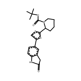 CC(C)(C)OC(=O)N1CCCCC1c1nc(-c2ccc3c(c2)CC(=O)N3)cs1